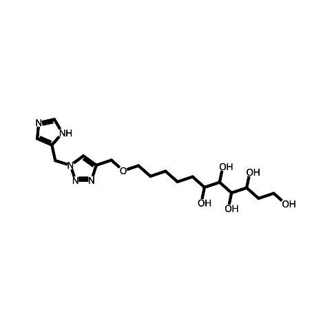 OCCC(O)C(O)C(O)C(O)CCCCCOCc1cn(Cc2cnc[nH]2)nn1